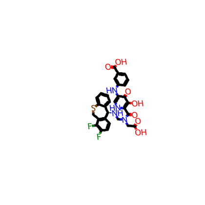 O=C(O)CN(CN[C@H]1c2ccccc2SCc2c1ccc(F)c2F)C(=O)c1[nH]cc(Nc2cccc(C(=O)O)c2)c(=O)c1O